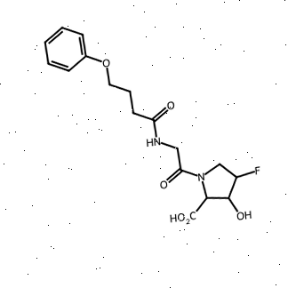 O=C(CCCOc1ccccc1)NCC(=O)N1CC(F)C(O)C1C(=O)O